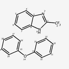 FC(F)(F)c1nc2ccccc2[nH]1.c1ccc(Oc2ccccc2)cc1